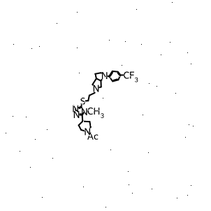 CC(=O)N1CCC(c2nnc(SCCCN3CC4CCN(c5ccc(C(F)(F)F)cc5)C4C3)n2C)CC1